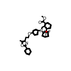 COC(=O)c1cccc(C(F)(F)F)c1CN(c1ccccc1)c1ccc(OCCc2nc(-c3ccccc3)oc2C)cc1